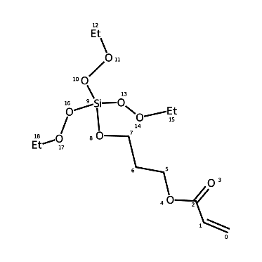 C=CC(=O)OCCCO[Si](OOCC)(OOCC)OOCC